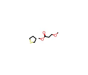 C1CCSC1.COCCC(=O)OC